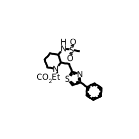 CCOC(=O)N1CCCC(NS(C)(=O)=O)C1Cc1nc(-c2ccccc2)cs1